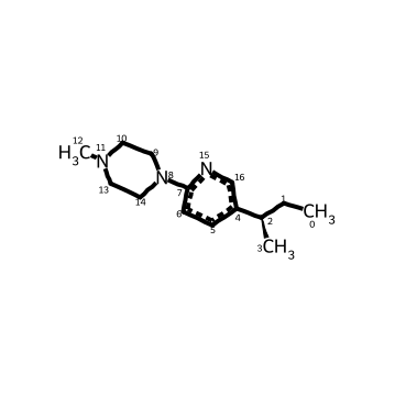 CC[C@@H](C)c1ccc(N2CCN(C)CC2)nc1